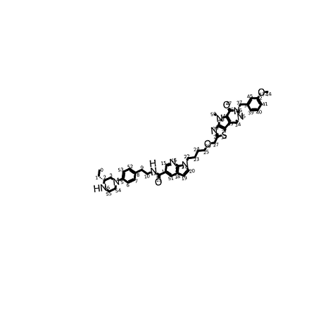 CC[C@@H]1CN(c2ccc(CCNC(=O)c3cnc4c(ccn4CCCCOCc4nc5c(s4)c4cnn(Cc6cccc(OC)c6)c(=O)c4n5C)c3)cc2)CCN1